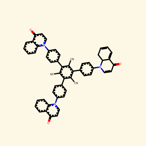 N#Cc1c(-c2ccc(N3C=CC(=O)C4=CC=CCC43)cc2)c(C#N)c(-c2ccc(-n3ccc(=O)c4ccccc43)cc2)c(C#N)c1-c1ccc(-n2ccc(=O)c3ccccc32)cc1